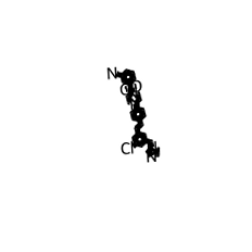 N#Cc1cccc(S(=O)(=O)N2CCN(c3ccc(C=Cc4cc(Cl)cc(Cn5ccnc5)c4)cc3)CC2)c1